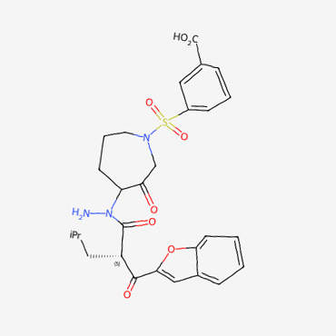 CC(C)C[C@@H](C(=O)c1cc2ccccc2o1)C(=O)N(N)C1CCCN(S(=O)(=O)c2cccc(C(=O)O)c2)CC1=O